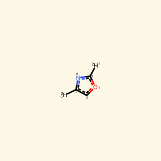 [2H]c1coc([2H])n1